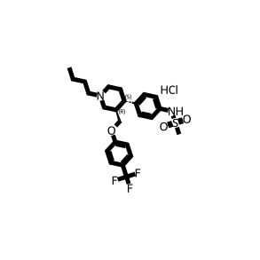 CCCCN1CC[C@H](c2ccc(NS(C)(=O)=O)cc2)[C@@H](COc2ccc(C(F)(F)F)cc2)C1.Cl